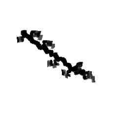 CCOC(=O)/C(C)=C/C=C/C(C)=C/C=C/C=C(C)/C=C/C=C(\C)C(=O)S